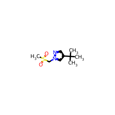 CC(C)(C)c1cnn(CS(C)(=O)=O)c1